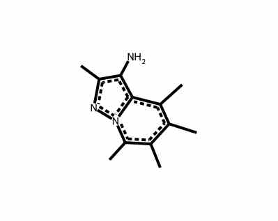 Cc1nn2c(C)c(C)c(C)c(C)c2c1N